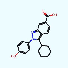 O=C(O)c1ccc2c(C3CCCCC3)n(-c3ccc(O)cc3)nc2c1